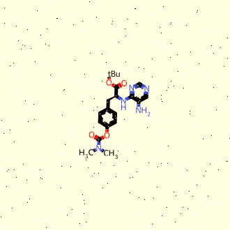 CN(C)C(=O)Oc1ccc(C[C@H](Nc2ncncc2N)C(=O)OC(C)(C)C)cc1